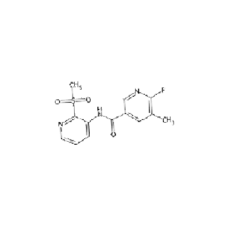 Cc1cc(C(=O)Nc2cccnc2S(C)(=O)=O)cnc1F